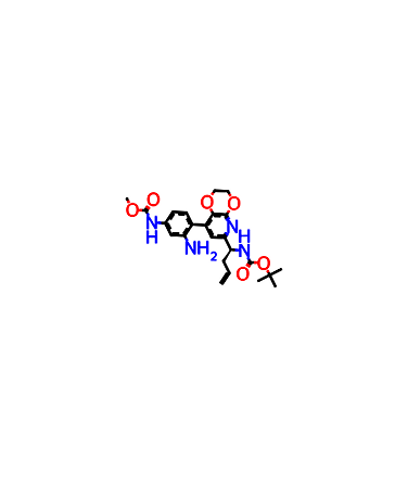 C=CC[C@H](NC(=O)OC(C)(C)C)c1cc(-c2ccc(NC(=O)OC)cc2N)c2c(n1)OCCO2